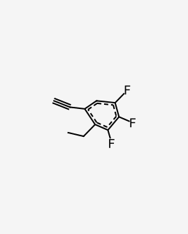 C#Cc1cc(F)c(F)c(F)c1CC